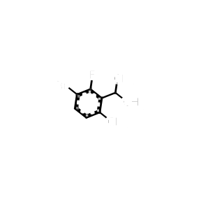 Cc1ccc(Br)c(F)c1C(C)C